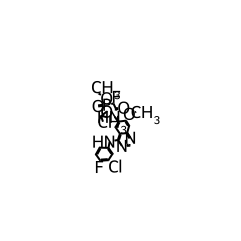 CCOP(=O)(OCC)C(F)C(=O)Nc1cc2c(Nc3ccc(F)c(Cl)c3)ncnc2cc1OC